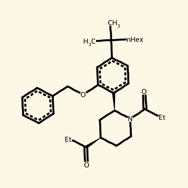 CCCCCCC(C)(C)c1ccc([C@@H]2C[C@H](C(=O)CC)CCN2C(=O)CC)c(OCc2ccccc2)c1